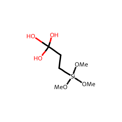 CO[Si](CCC(O)(O)O)(OC)OC